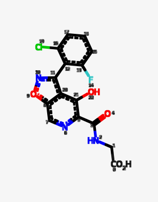 O=C(O)CNC(=O)c1ncc2onc(-c3c(F)cccc3Cl)c2c1O